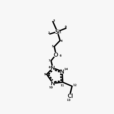 C[Si](C)(C)CCOCn1cnc(CCl)n1